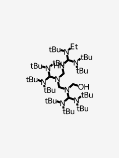 CCN(C(NCN(CN(CO)C(N(C(C)(C)C)C(C)(C)C)N(C(C)(C)C)C(C)(C)C)C(N(C(C)(C)C)C(C)(C)C)N(C(C)(C)C)C(C)(C)C)N(C(C)(C)C)C(C)(C)C)C(C)(C)C